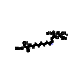 CCCCCC[C@H](C/C=C\CCCCCCCC(=O)N(C)OC)O[Si](C)(C)C(C)(C)C